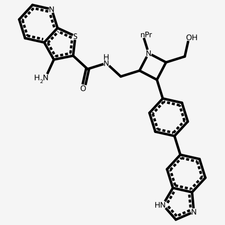 CCCN1C(CO)C(c2ccc(-c3ccc4nc[nH]c4c3)cc2)C1CNC(=O)c1sc2ncccc2c1N